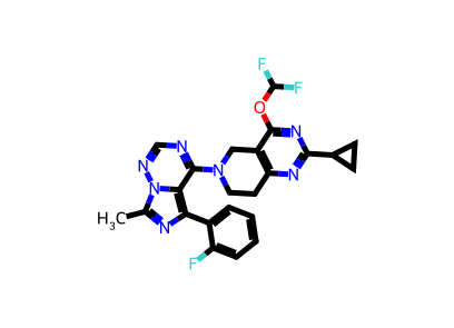 Cc1nc(-c2ccccc2F)c2c(N3CCc4nc(C5CC5)nc(OC(F)F)c4C3)ncnn12